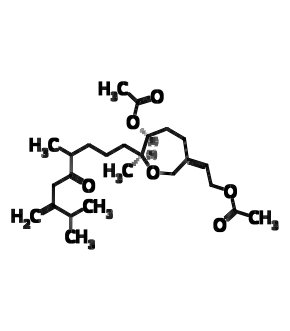 C=C(CC(=O)C(C)CCC[C@]1(C)OCC(=CCOC(C)=O)CC[C@H]1OC(C)=O)C(C)C